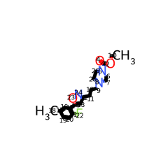 CCOC(=O)N1CCN(CCCc2cc(-c3cc(C)ccc3F)on2)CC1